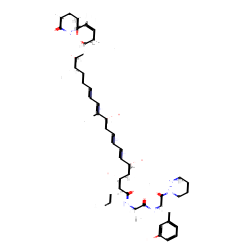 CC[C@H]1C[C@H](C)[C@@]2(NC1=O)O[C@@H](C[C@H](O)[C@@H](C)CC/C=C/C=C(\C)[C@@H](O)C/C=C/C=C/[C@@H](O)[C@H](C)[C@@H](O)[C@@H](CCC(C)=O)C(=O)N[C@H](C(=O)N[C@@H](Cc1cccc(O)c1)C(=O)N1CCC[C@@H](C(=O)O)N1)C(C)C)[C@H](C)C=C2C